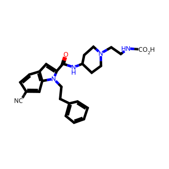 N#Cc1ccc2cc(C(=O)NC3CCN(CCNC(=O)O)CC3)n(CCc3ccccc3)c2c1